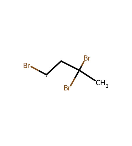 CC(Br)(Br)C[CH]Br